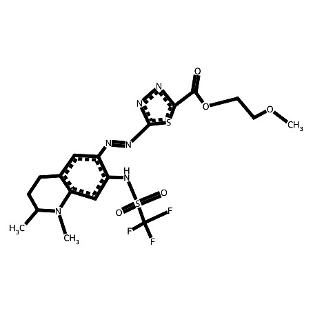 COCCOC(=O)c1nnc(N=Nc2cc3c(cc2NS(=O)(=O)C(F)(F)F)N(C)C(C)CC3)s1